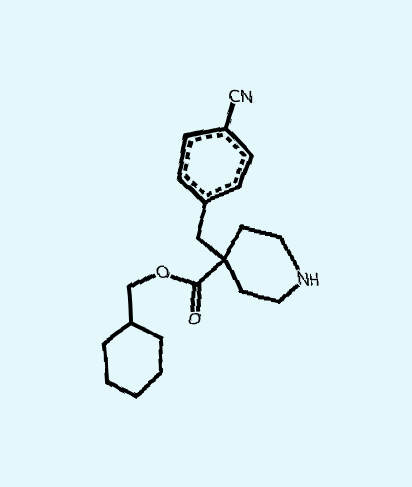 N#Cc1ccc(CC2(C(=O)OCC3CCCCC3)CCNCC2)cc1